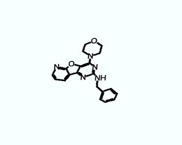 c1ccc(CNc2nc(N3CCOCC3)c3oc4ncccc4c3n2)cc1